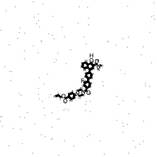 C=CCOC(=O)c1ccc(N2CCN(C(=O)c3ccc(-c4ccc(-c5cc(C(=O)N(C)C)c(O)c6ccccc56)cc4)c(F)c3)CC2)cc1